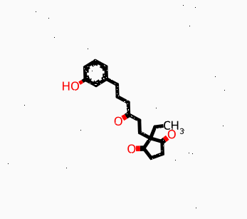 CCC1(CCC(=O)CCCc2cccc(O)c2)C(=O)CCC1=O